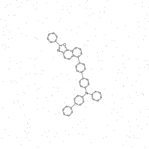 c1ccc(-c2ccc(N(c3ccccc3)c3ccc(-c4ccc(-c5cccc6c5ccc5nc(-c7ccccc7)oc56)cc4)cc3)cc2)cc1